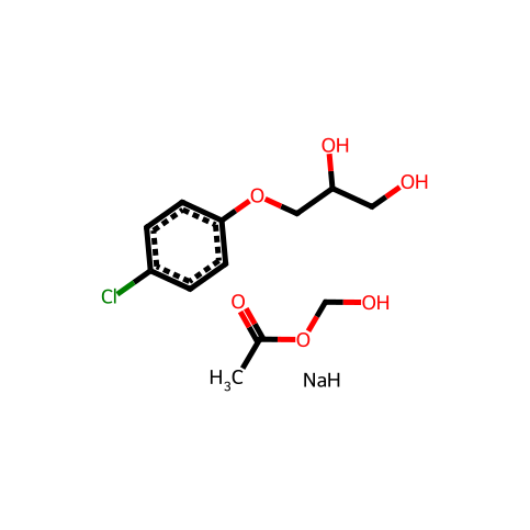 CC(=O)OCO.OCC(O)COc1ccc(Cl)cc1.[NaH]